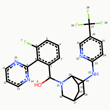 OC(c1cccc(F)c1-c1ncccn1)N1CC2CCC1C(Nc1ccc(C(F)(F)F)cn1)C2